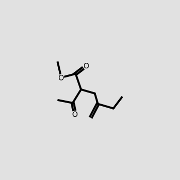 C=C(CC)CC(C(C)=O)C(=O)OC